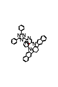 c1ccc(-c2nc(-c3ccccc3)nc(-c3ncc(-n4c5c(c6cc7ccccc7cc64)CCc4c-5n(-c5ccccc5)c5cc6ccccc6cc45)cn3)n2)cc1